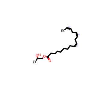 CC/C=C\C/C=C\C/C=C\CCCCCCCC(=O)OCC(O)CC